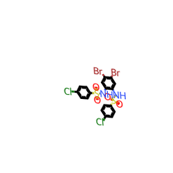 O=S(=O)(Nc1cc(Br)c(Br)cc1NS(=O)(=O)c1ccc(Cl)cc1)c1ccc(Cl)cc1